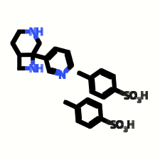 Cc1ccc(S(=O)(=O)O)cc1.Cc1ccc(S(=O)(=O)O)cc1.c1cncc(C23CNCCC2CN3)c1